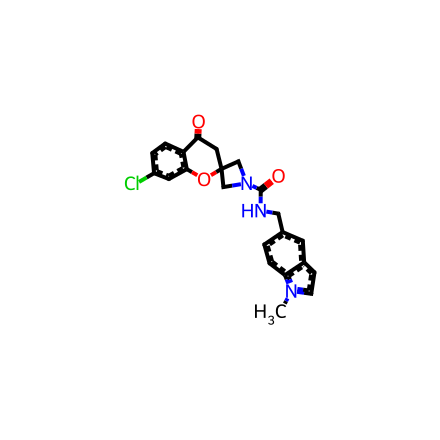 Cn1ccc2cc(CNC(=O)N3CC4(CC(=O)c5ccc(Cl)cc5O4)C3)ccc21